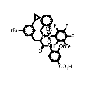 COc1cc(C(=O)O)ccc1NC(=O)C(Cc1cc(C2CC2)cc(C(C)(C)C)c1)N(Cc1ccccc1C#N)S(=O)(=O)c1c(F)c(F)c(F)c(F)c1F